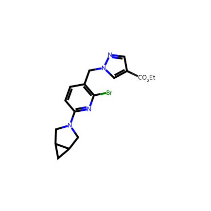 CCOC(=O)c1cnn(Cc2ccc(N3CC4CC4C3)nc2Br)c1